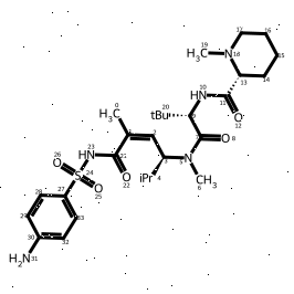 CC(=C[C@H](C(C)C)N(C)C(=O)[C@@H](NC(=O)[C@H]1CCCCN1C)C(C)(C)C)C(=O)NS(=O)(=O)c1ccc(N)cc1